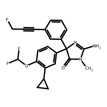 CN1C(=O)C(c2cccc(C#CCF)c2)(c2ccc(OC(F)F)c(C3CC3)c2)N=C1N